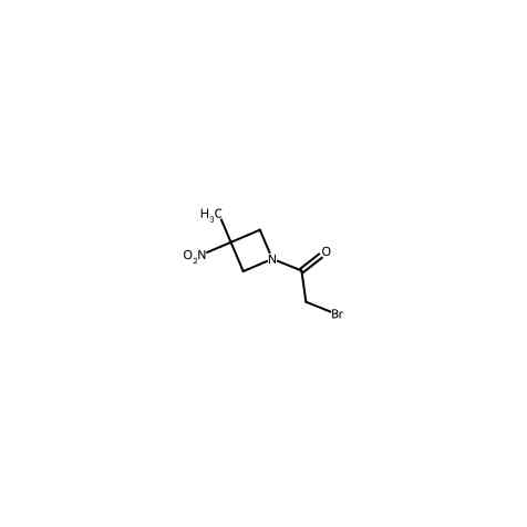 CC1([N+](=O)[O-])CN(C(=O)CBr)C1